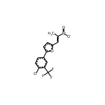 C/C(=C\c1ccc(-c2ccc(Cl)c(C(F)(F)F)c2)o1)[N+](=O)[O-]